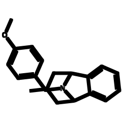 COc1ccc(CN2C3CC(C)CC2c2ccccc23)cc1